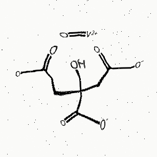 O=C([O-])CC(O)(CC(=O)[O-])C(=O)[O-].[O]=[V+2]